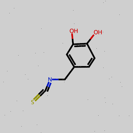 Oc1ccc(CN=C=S)cc1O